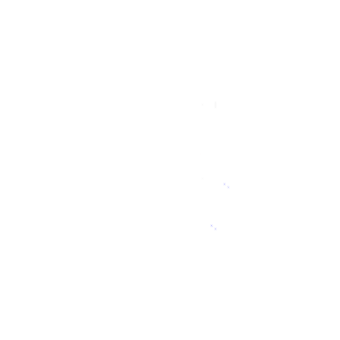 CO[C@H]1Cc2ccccc2[C@H]1Oc1cc(Cl)ncn1